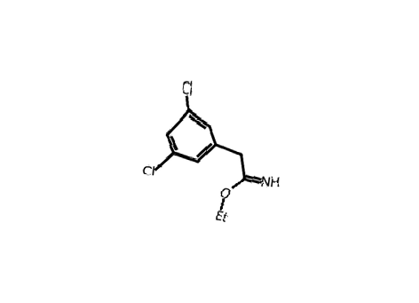 CCOC(=N)Cc1cc(Cl)cc(Cl)c1